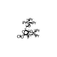 CC(C)[Si](OC[C@H]1O[C@H](OCl)[C@H](F)[C@@H]1O[Si](C(C)C)(C(C)C)C(C)C)(C(C)C)C(C)C